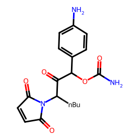 CCCCC(C(=O)C(OC(N)=O)c1ccc(N)cc1)N1C(=O)C=CC1=O